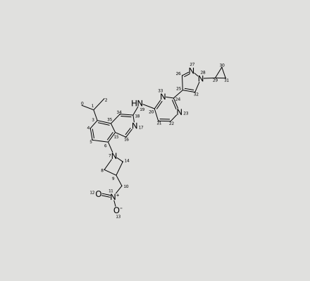 CC(C)c1ccc(N2CC(C[N+](=O)[O-])C2)c2cnc(Nc3ccnc(-c4cnn(C5CC5)c4)n3)cc12